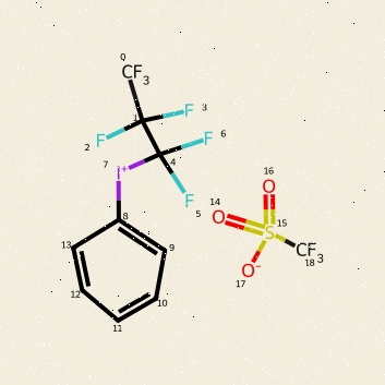 FC(F)(F)C(F)(F)C(F)(F)[I+]c1ccccc1.O=S(=O)([O-])C(F)(F)F